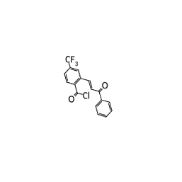 O=C(C=Cc1cc(C(F)(F)F)ccc1C(=O)Cl)c1ccccc1